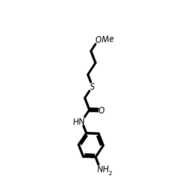 COCCCSCC(=O)Nc1ccc(N)cc1